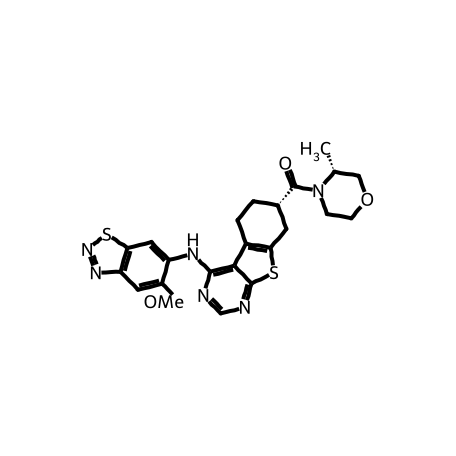 COc1cc2nnsc2cc1Nc1ncnc2sc3c(c12)CC[C@H](C(=O)N1CCOC[C@H]1C)C3